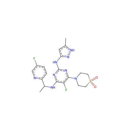 Cc1cc(Nc2nc(NC(C)c3ccc(F)cn3)c(F)c(N3CCS(=O)(=O)CC3)n2)n[nH]1